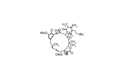 COc1cc2cc(c1Cl)N(C)C(=O)CC(OC(=O)C(C)N(C)C(=O)CCC(C)(C)C)C1(C)OC1C(C)(C)C1CC(O)(NC(=O)O1)C(OC)/C=C/C=C(\C)C2